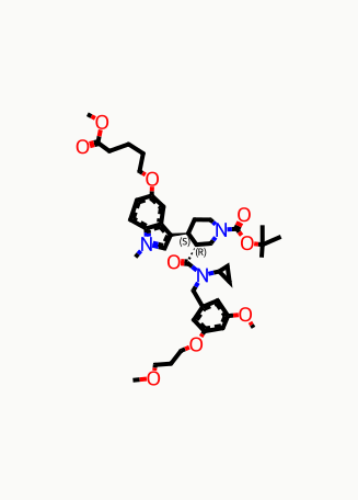 COCCCOc1cc(CN(C(=O)[C@H]2CN(C(=O)OC(C)(C)C)CC[C@@H]2c2cn(C)c3ccc(OCCCCC(=O)OC)cc23)C2CC2)cc(OC)c1